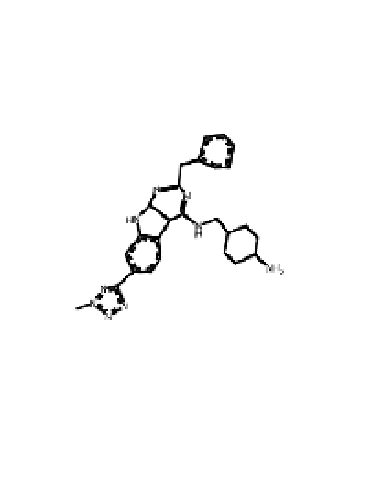 Cn1nnc(-c2ccc3c(c2)NC2N=C(Cc4ccccc4)N=C(NCC4CCC(N)CC4)C32)n1